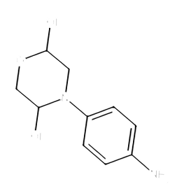 Nc1ccc(N2CC(O)OCC2O)cc1